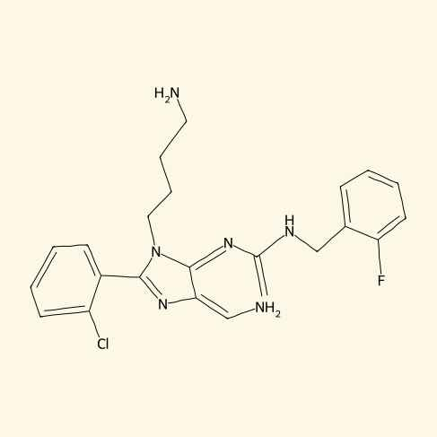 C=C(/N=C1\C(=C/N)N=C(c2ccccc2Cl)N1CCCCN)NCc1ccccc1F